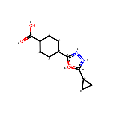 O=C(O)C1CCC(c2nnc(C3CC3)o2)CC1